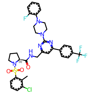 Cc1c(Cl)cccc1S(=O)(=O)N1CCC[C@H]1C(=O)NCc1cc(-c2ccc(C(F)(F)F)cc2)nc(N2CCN(c3ccccc3F)CC2)n1